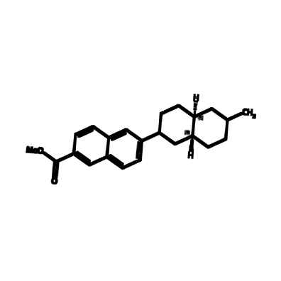 COC(=O)c1ccc2cc(C3CC[C@H]4CC(C)CC[C@@H]4C3)ccc2c1